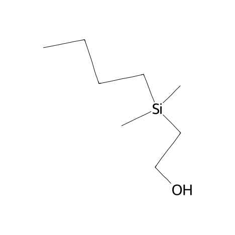 CCCC[Si](C)(C)CCO